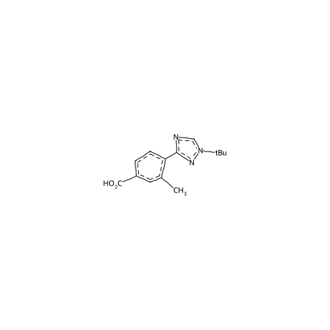 Cc1cc(C(=O)O)ccc1-c1ncn(C(C)(C)C)n1